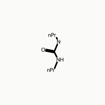 CCC[N]C(=O)NCCC